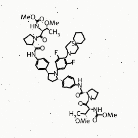 COC(=O)N[C@H](C(=O)N1CCC[C@H]1C(=O)Nc1ccc([C@@H]2CC[C@@H](c3ccc(NC(=O)[C@@H]4CCCN4C(=O)[C@@H](NC(=O)OC)[C@@H](C)OC)cc3)N2c2cc(F)c(N3CC[Si]4(CCCCC4)CC3)c(F)c2)cc1)[C@@H](C)OC